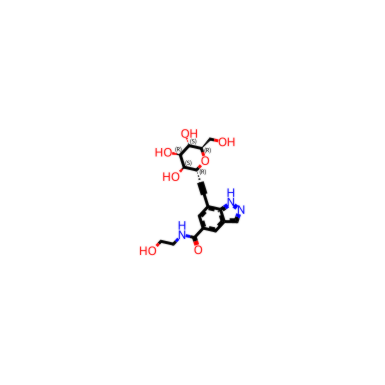 O=C(NCCO)c1cc(C#C[C@H]2O[C@H](CO)[C@@H](O)[C@H](O)[C@@H]2O)c2[nH]ncc2c1